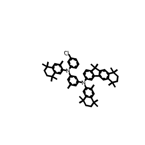 Cc1cc(N(c2cccc(Cl)c2)c2cc3c(cc2C)C(C)(C)CCC3(C)C)cc(N(c2ccc3c(c2)-c2cc4c(cc2C3(C)C)C(C)(C)CCC4(C)C)c2cc3c(cc2C)C(C)(C)CCC3(C)C)c1